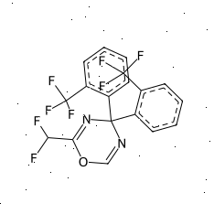 FC(F)C1=NC(c2ccccc2C(F)(F)F)(c2ccccc2C(F)(F)F)N=CO1